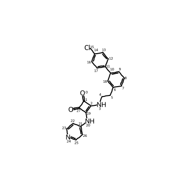 O=c1c(NCCc2cccc(-c3ccc(Cl)cc3)c2)c(Nc2ccncc2)c1=O